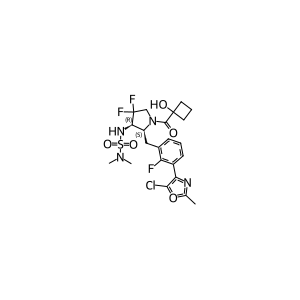 Cc1nc(-c2cccc(C[C@H]3[C@@H](NS(=O)(=O)N(C)C)C(F)(F)CN3C(=O)C3(O)CCC3)c2F)c(Cl)o1